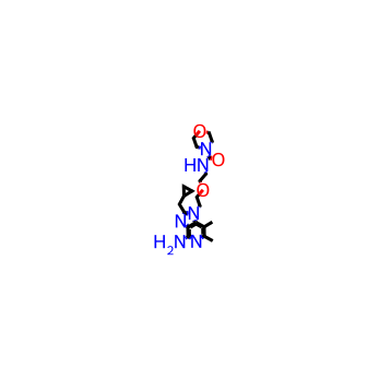 Cc1nc(N)c2nc(CC3CC3)n(CCOCCNC(=O)N3CCOCC3)c2c1C